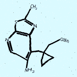 COCC1(c2c(N)cnc3sc(C)nc23)CC1